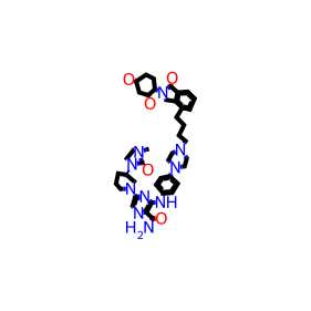 CN1CCN([C@@H]2CCCN(c3cnc(C(N)=O)c(Nc4ccc(N5CCN(CCCCc6cccc7c6CN(C6CCC(=O)CC6=O)C7=O)CC5)cc4)n3)C2)C1=O